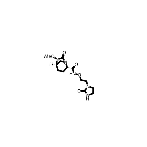 CON1C(=O)N2C[C@H]1CC[C@H]2C(=O)NOCCN1CCNC1=O